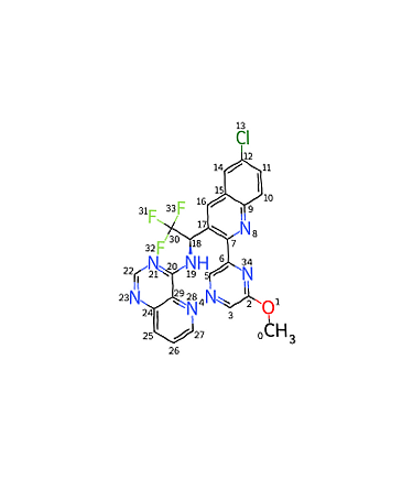 COc1cncc(-c2nc3ccc(Cl)cc3cc2[C@@H](Nc2ncnc3cccnc23)C(F)(F)F)n1